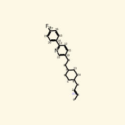 C/C=C/CC1CCC(CCc2ccc(-c3ccc(F)cc3)nc2)CC1